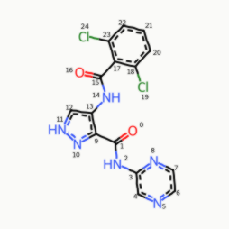 O=C(Nc1cnccn1)c1n[nH]cc1NC(=O)c1c(Cl)cccc1Cl